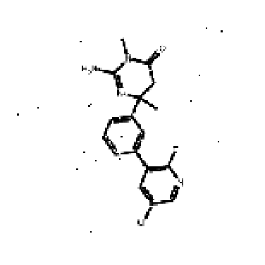 CN1C(=O)CC(C)(c2cccc(-c3cc(Cl)cnc3F)c2)N=C1N